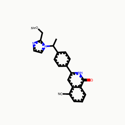 COCc1nccn1C(C)c1ccc(-c2cc3c(C#N)cccc3c(=O)[nH]2)cc1